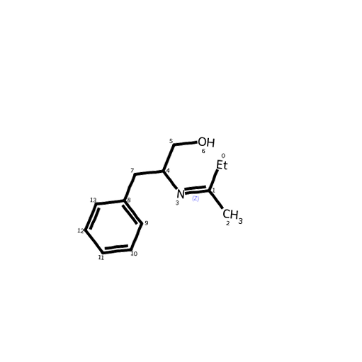 CC/C(C)=N\C(CO)Cc1ccccc1